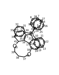 C1=CC(P(c2ccccc2)c2ccccc2)=C2c3c(cccc3P(c3ccccc3)c3ccccc3)OCCCOC2C1